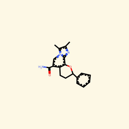 Cc1nc2c3c(c(C(N)=O)cn2c1C)CCC(c1ccccc1)O3